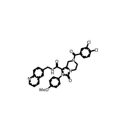 COc1ccc(-n2c(C(=O)NCc3ccc4ncccc4c3)c3n(c2=O)CCN(C(=O)c2ccc(Cl)c(Cl)c2)C3)cc1